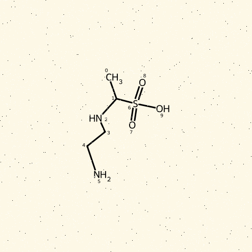 CC(NCCN)S(=O)(=O)O